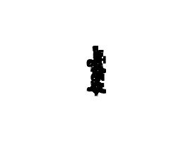 Cc1cc(C)cc(-c2nc3ccc(C(=O)NCC(F)F)cc3o2)c1